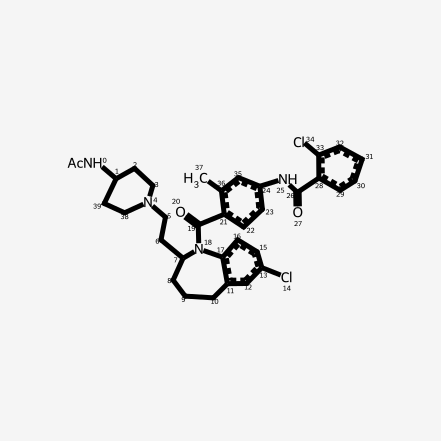 CC(=O)NC1CCN(CCC2CCCc3cc(Cl)ccc3N2C(=O)c2ccc(NC(=O)c3ccccc3Cl)cc2C)CC1